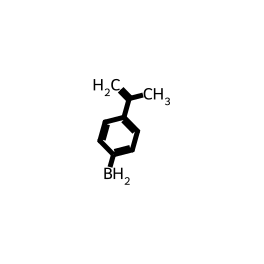 Bc1ccc(C(=C)C)cc1